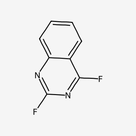 Fc1nc(F)c2ccccc2n1